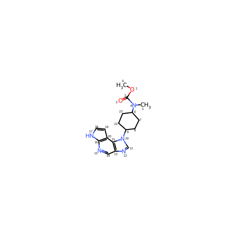 COC(=O)N(C)C1CCC(n2cnc3cnc4[nH]ccc4c32)CC1